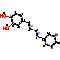 Oc1ccc(/C=C/C=C/c2ccccc2)cc1O